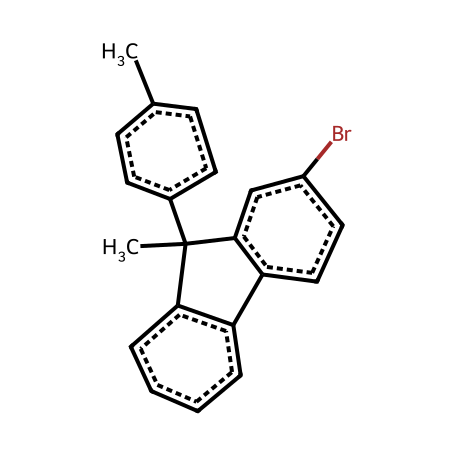 Cc1ccc(C2(C)c3ccccc3-c3ccc(Br)cc32)cc1